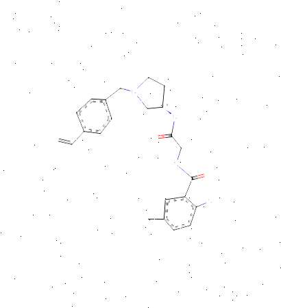 C=Cc1ccc(CN2CC[C@@H](NC(=O)CNC(=O)c3cc(C(F)(F)F)ccc3N)C2)cc1